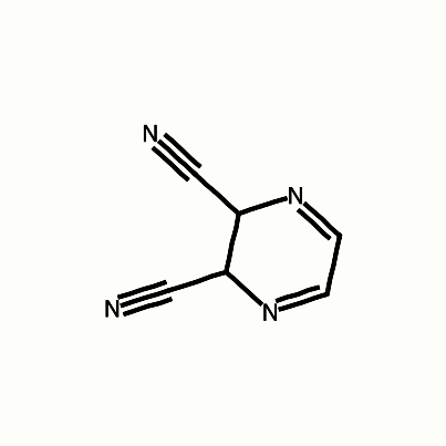 N#CC1N=CC=NC1C#N